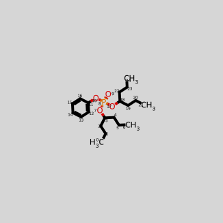 CCCC(CCC)OP(=O)(Oc1ccccc1)OC(CCC)CCC